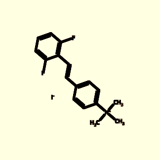 C[N+](C)(C)c1ccc(C=Cc2c(F)cccc2F)cc1.[I-]